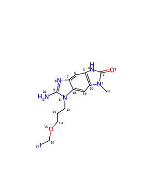 Cn1c(=O)[nH]c2cc3nc(N)n(CCCOCI)c3cc21